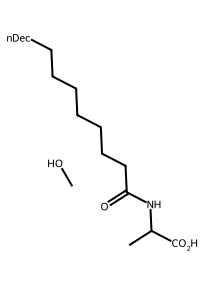 CCCCCCCCCCCCCCCCCC(=O)NC(C)C(=O)O.CO